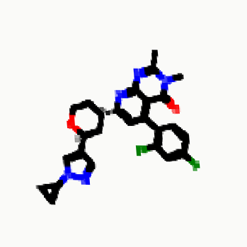 Cc1nc2nc([C@H]3CCO[C@H](c4cnn(C5CC5)c4)C3)cc(-c3ccc(F)cc3F)c2c(=O)n1C